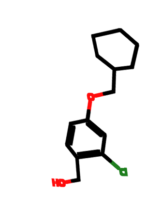 OCc1ccc(OCC2CCCCC2)cc1Cl